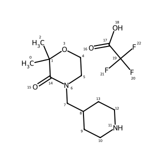 CC1(C)OCCN(CC2CCNCC2)C1=O.O=C(O)C(F)(F)F